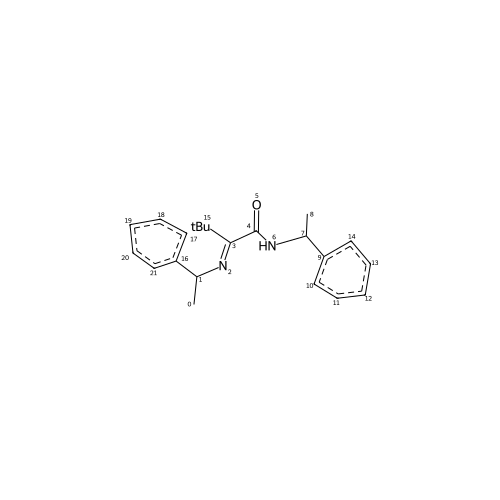 CC(N=C(C(=O)NC(C)c1ccccc1)C(C)(C)C)c1ccccc1